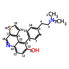 CN(C)CCc1ccc(-c2c(O)ccc3ncc4sccc4c23)cc1